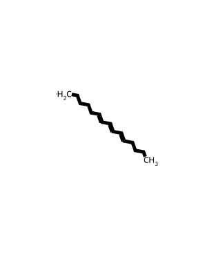 [CH2]CCCCC=CC=CC=CCCCC